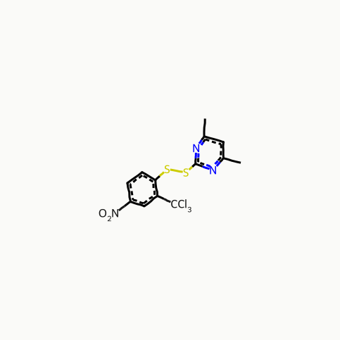 Cc1cc(C)nc(SSc2ccc([N+](=O)[O-])cc2C(Cl)(Cl)Cl)n1